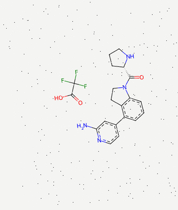 Nc1cc(-c2cccc3c2CCN3C(=O)[C@@H]2CCCN2)ccn1.O=C(O)C(F)(F)F